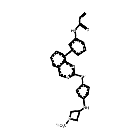 C=CC(=O)Nc1cccc(-c2cccc3cnc(Nc4ccc(NC5CN(C(=O)O)C5)cc4)nc23)c1